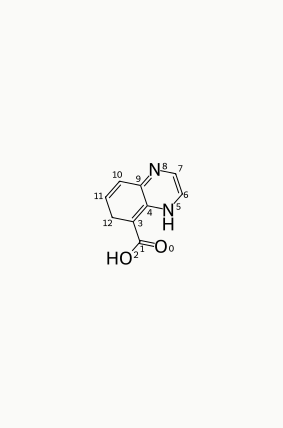 O=C(O)C1=C2NC=CN=C2C=CC1